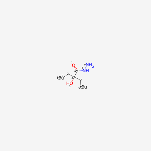 CC(C)(C)CC(O)(CC(C)(C)C)C(=O)NN